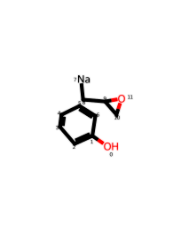 Oc1ccccc1.[Na][CH2]C1CO1